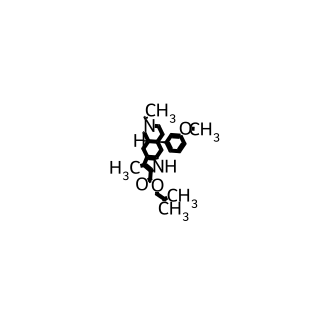 CCN1CC[C@]2(c3cccc(OC)c3)Cc3[nH]c(C(=O)OCC(C)C)c(C)c3C[C@H]2C1